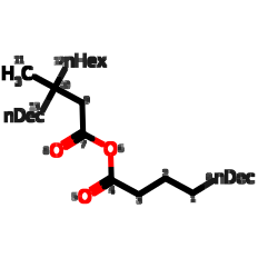 CCCCCCCCCCCCCC(=O)OC(=O)CC(C)(CCCCCC)CCCCCCCCCC